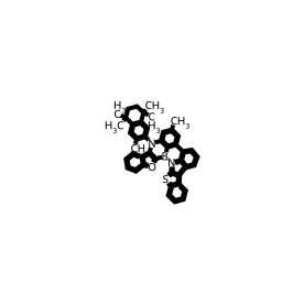 Cc1cc2c3c(c1)N(c1cc4c(cc1C)C(C)(C)CCC4(C)C)c1c(oc4ccccc14)B3n1c3sc4ccccc4c3c3cccc-2c31